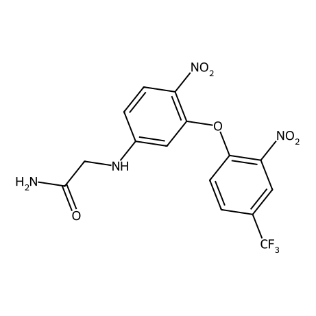 NC(=O)CNc1ccc([N+](=O)[O-])c(Oc2ccc(C(F)(F)F)cc2[N+](=O)[O-])c1